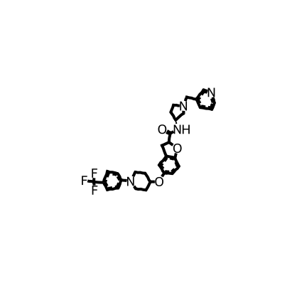 O=C(N[C@@H]1CCN(Cc2cccnc2)C1)C1Cc2cc(OC3CCN(c4ccc(C(F)(F)F)cc4)CC3)ccc2O1